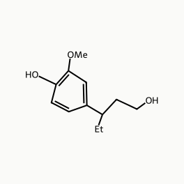 CCC(CCO)c1ccc(O)c(OC)c1